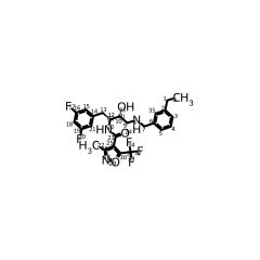 CCc1cccc(CNC[C@@H](O)[C@H](Cc2cc(F)cc(F)c2)NC(=O)c2c(C)noc2C(F)(F)F)c1